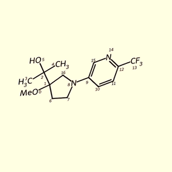 COC1(C(C)(C)O)CCN(c2ccc(C(F)(F)F)nc2)C1